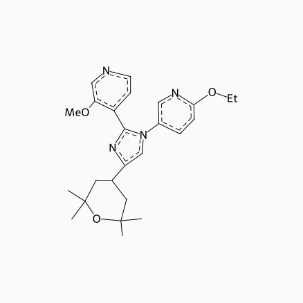 CCOc1ccc(-n2cc(C3CC(C)(C)OC(C)(C)C3)nc2-c2ccncc2OC)cn1